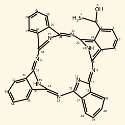 OC([SiH3])c1cccc2c3nc4nc(nc5[nH]c(nc6nc(nc([nH]3)c12)-c1ccccc1-6)c1ccccc51)-c1ccccc1-4